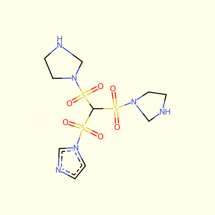 O=S(=O)(C(S(=O)(=O)N1CCNC1)S(=O)(=O)n1ccnc1)N1CCNC1